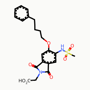 CS(=O)(=O)Nc1cc2c(cc1OCCCCc1ccccc1)C(=O)N(CC(=O)O)C2=O